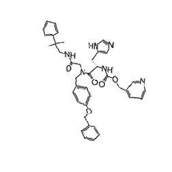 CC(C)(CNC(=O)CN(Cc1ccc(OCc2ccccc2)cc1)C(=O)[C@H](Cc1cnc[nH]1)NC(=O)OCc1cccnc1)c1ccccc1